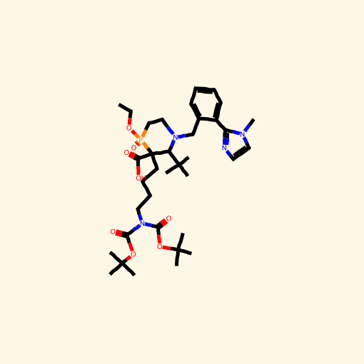 CCOP1(=O)CCN(Cc2ccccc2-c2nccn2C)C(C(C)(C)C)C1(CCCCN(C(=O)OC(C)(C)C)C(=O)OC(C)(C)C)C(=O)O